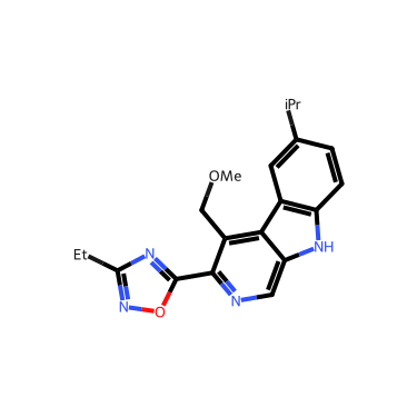 CCc1noc(-c2ncc3[nH]c4ccc(C(C)C)cc4c3c2COC)n1